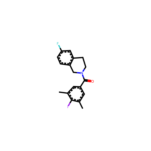 Cc1cc(C(=O)N2CCc3cc(F)ccc3C2)cc(C)c1I